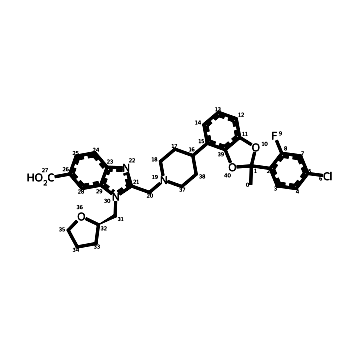 CC1(c2ccc(Cl)cc2F)Oc2cccc(C3CCN(Cc4nc5ccc(C(=O)O)cc5n4C[C@H]4CCCO4)CC3)c2O1